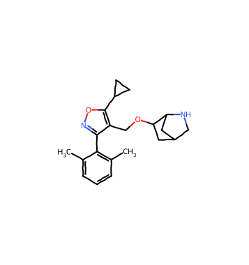 Cc1cccc(C)c1-c1noc(C2CC2)c1COC1CC2CNC1C2